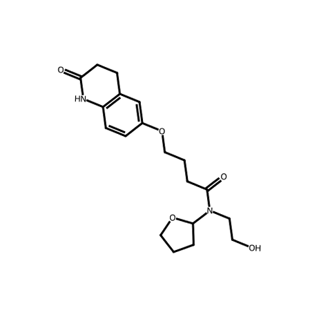 O=C1CCc2cc(OCCCC(=O)N(CCO)C3CCCO3)ccc2N1